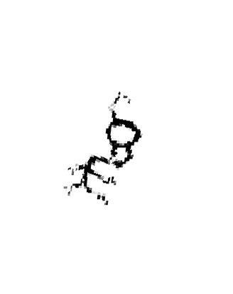 COc1ccc2ccn(CC(C)(C)N(C)C)c2c1